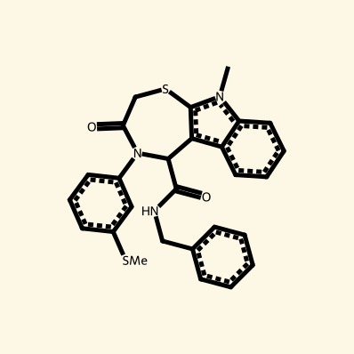 CSc1cccc(N2C(=O)CSc3c(c4ccccc4n3C)C2C(=O)NCc2ccccc2)c1